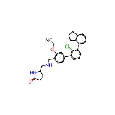 N#CCOc1cc(-c2cccc(-c3cccc4c3CCC4)c2Cl)ccc1CNCC1CCC(=O)N1